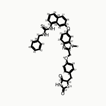 Cn1c(COc2ccc(CC3SC(=O)NC3=O)cc2)nc2ccc(Oc3ccc4cccc(NC(=S)NCc5ccccc5)c4c3)cc21